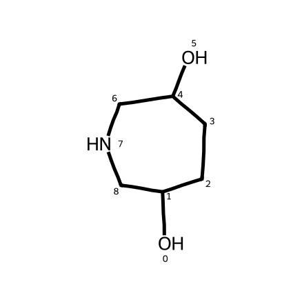 OC1CCC(O)CNC1